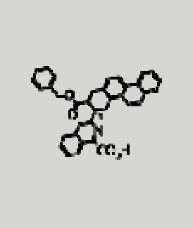 O=C(O)c1nc([C@@H]2Cc3c(ccc4c3ccc3ccccc34)CC2C(=O)OCc2ccccc2)cc2ccccc12